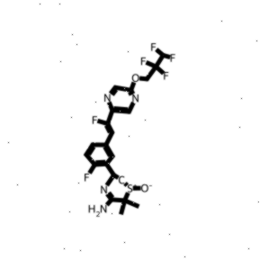 CC1(C)C(N)=NC(c2cc(/C=C(\F)c3cnc(OCC(F)(F)C(F)F)cn3)ccc2F)C[S+]1[O-]